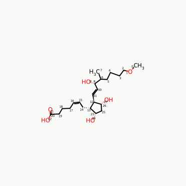 COCCCCC(C)[C@@H](O)/C=C/[C@@H]1[C@@H](C/C=C\CCCC(=O)O)[C@@H](O)C[C@H]1O